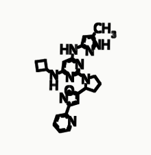 Cc1cc(Nc2cc(NC3CCC3)nc(N3CCCC3c3cc(-c4ccccn4)no3)n2)n[nH]1